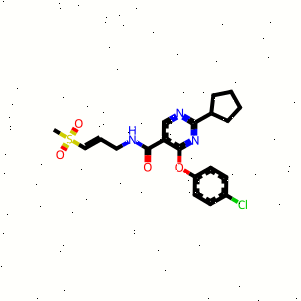 CS(=O)(=O)C=CCNC(=O)c1cnc(C2CCCC2)nc1Oc1ccc(Cl)cc1